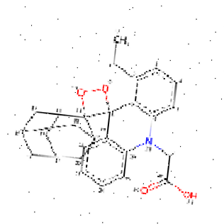 CCc1cccc2c1C1(OOC13C1CC4CC(C1)CC3C4)c1ccccc1N2CC(=O)O